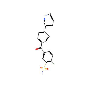 NS(=O)(=O)c1cc(C(=O)c2ccc(-c3cccnc3)cc2)ccc1Cl